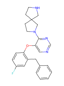 Fc1ccc(Oc2cncnc2N2CCC3(CCNC3)C2)c(Cc2ccccc2)c1